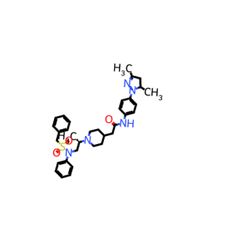 CC1=NN(c2ccc(NC(=O)CC3CCN([C@H](C)CN(c4ccccc4)S(=O)(=O)Cc4ccccc4)CC3)cc2)C(C)C1